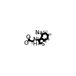 O=C([O-])CNc1csc2ccccc12.[Na+]